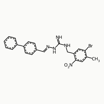 Cc1cc([N+](=O)[O-])c(CNC(=N)NN=Cc2ccc(-c3ccccc3)cc2)cc1Br